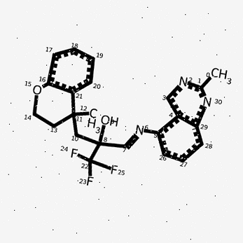 Cc1ncc2c(N=CC(O)(CC3(C)CCOc4ccccc43)C(F)(F)F)cccc2n1